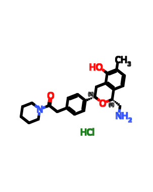 Cc1ccc2c(c1O)C[C@@H](c1ccc(CC(=O)N3CCCCC3)cc1)O[C@H]2CN.Cl